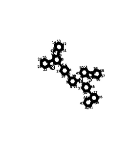 c1cc(-c2ccc(-c3cc4c5ccccc5sc4c4c3oc3ccccc34)cc2)cc(N(c2ccc(-c3cccc4ccccc34)cc2)c2cccc3c2sc2ccccc23)c1